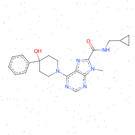 Cn1c(C(=O)NCC2CC2)nc2c(N3CCC(O)(c4ccccc4)CC3)ncnc21